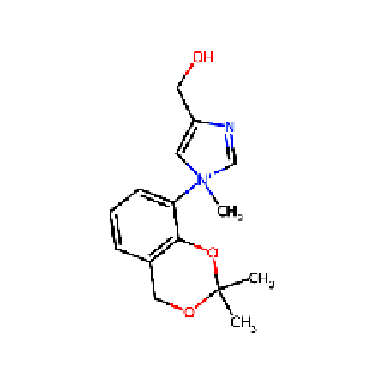 CC1(C)OCc2cccc([N+]3(C)C=NC(CO)=C3)c2O1